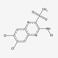 CCNc1nc2cc(Cl)c(Cl)cc2nc1S(C)(=O)=O